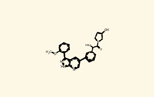 COc1ccccc1-c1n[nH]c2ncc(-c3cccc(C(O)C(=O)N4CCC(O)C4)c3)cc12